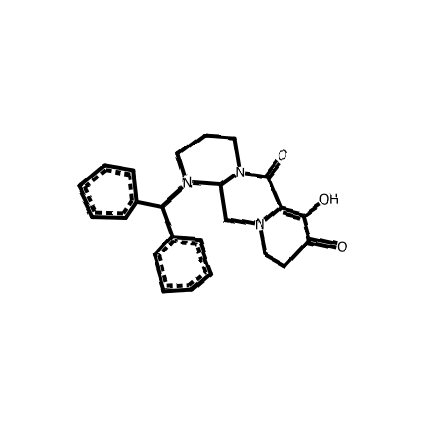 O=C1CCN2CC3N(CCCN3C(c3ccccc3)c3ccccc3)C(=O)C2=C1O